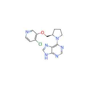 Clc1ccncc1OC[C@H]1CCCN1c1ncnc2[nH]cnc12